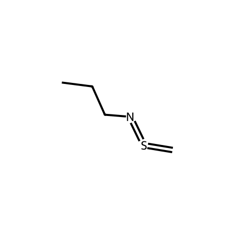 C=S=NCCC